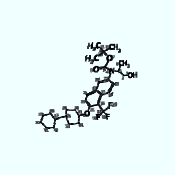 CC(CO)N(C(=O)OC(C)(C)C)c1ccc2c(C(F)(F)F)c(OC3CCC(C4CCCCC4)CC3)ccc2c1